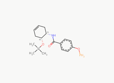 C[Si](C)(C)O[C@@H]1CC=CC[C@@H]1NC(=O)c1ccc(OP)cc1